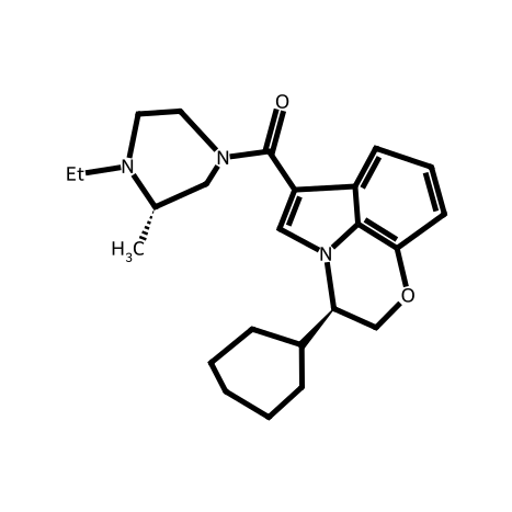 CCN1CCN(C(=O)c2cn3c4c(cccc24)OC[C@H]3C2CCCCC2)C[C@@H]1C